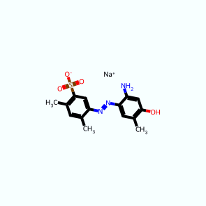 Cc1cc(N=Nc2cc(S(=O)(=O)[O-])c(C)cc2C)c(N)cc1O.[Na+]